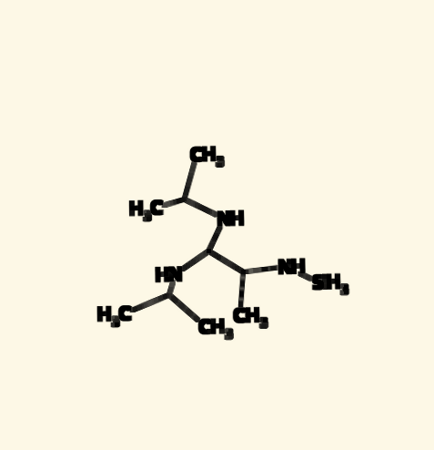 CC(C)NC(NC(C)C)C(C)N[SiH3]